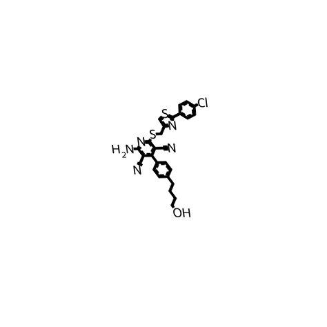 N#Cc1c(N)nc(SCc2csc(-c3ccc(Cl)cc3)n2)c(C#N)c1-c1ccc(CCCCO)cc1